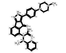 CN1CCN(c2ccc(-c3[nH]nc4c3C(=O)c3c-4cccc3N(C(N)=O)N(C)c3ccccn3)cc2)CC1